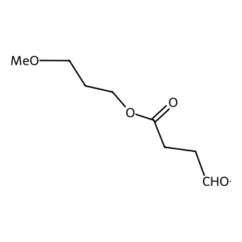 COCCCOC(=O)CC[C]=O